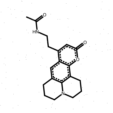 CC(=O)NCCc1cc(=O)oc2c3c4c(cc12)CCCN4CCC3